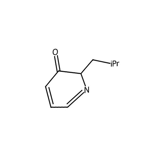 CC(C)CC1N=CC=CC1=O